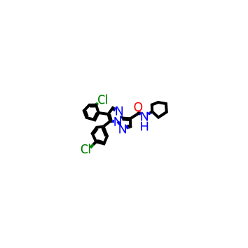 O=C(NC1CCCCC1)c1cnn2c(-c3ccc(Cl)cc3)c(-c3ccccc3Cl)cnc12